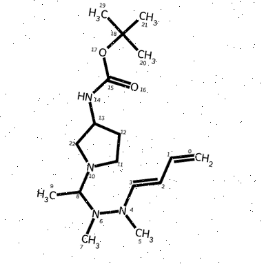 C=C/C=C/N(C)N(C)C(C)N1CCC(NC(=O)OC(C)(C)C)C1